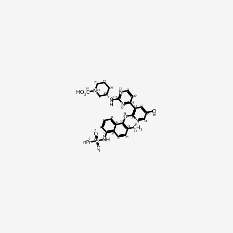 CCCS(=O)(=O)Nc1cccc2c(Oc3ncc(Cl)cc3-c3ccnc(N[C@H]4CCCN(C(=O)O)C4)n3)c(C)ccc12